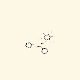 O=C(Oc1ccccc1)C(C(=O)Oc1c(Cl)c(Cl)c(Cl)c(Cl)c1Cl)c1ccccc1